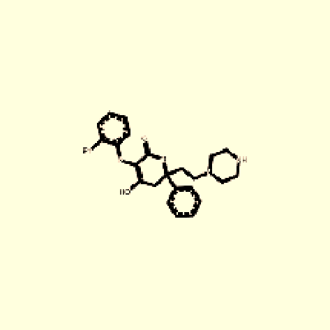 CC(C)c1ccccc1SC1=C(O)CC(CCN2CCNCC2)(c2ccccc2)OC1=O